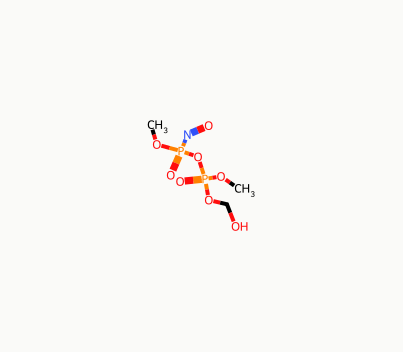 COP(=O)(N=O)OP(=O)(OC)OCO